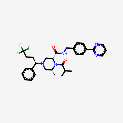 CC(C)C(=O)N1[C@H](C)CN([C@H](CCC(F)(F)F)c2ccccc2)C[C@@H]1C(=O)NCc1ccc(-c2ncccn2)cc1